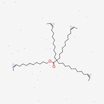 C/C=C\CCCCCCCCCOC(=O)C(CCCCCCCCC/C=C\C)(CCCCCCCCC/C=C\C)CCCCCCCCC/C=C\C